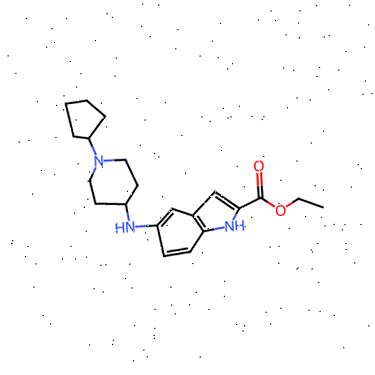 CCOC(=O)c1cc2cc(NC3CCN(C4CCCC4)CC3)ccc2[nH]1